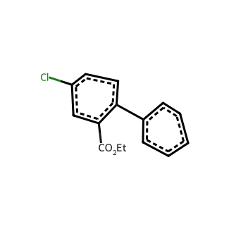 CCOC(=O)c1cc(Cl)ccc1-c1ccccc1